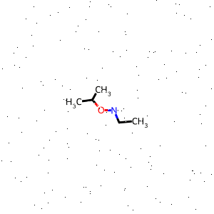 CC[N]OC(C)C